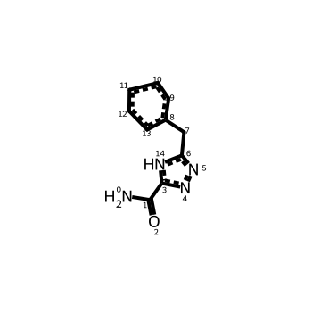 NC(=O)c1nnc(Cc2ccccc2)[nH]1